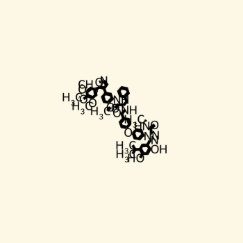 CCNC(=O)c1nnc(-c2cc(C(C)C)c(O)cc2O)n1-c1ccc(Oc2ccc(C(=O)NC(Cc3ccccc3)C(=O)Nc3cc(-c4cnoc4-c4cc(OC)c(OC)c(OC)c4)ccc3OC)cc2)cc1